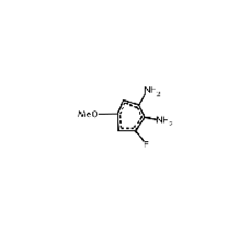 COc1cc(N)c(N)c(F)c1